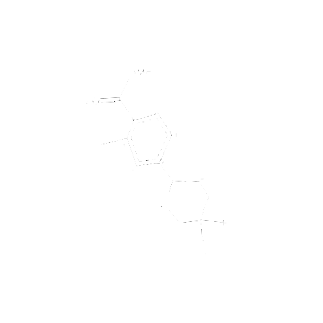 COC(=O)c1ccc(C2CCC(F)(F)CC2)cc1F